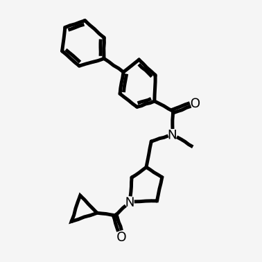 CN(CC1CCN(C(=O)C2CC2)C1)C(=O)c1ccc(-c2ccccc2)cc1